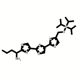 CCCC(N)c1nc(-c2nc(-c3nc(CO[Si](C(C)C)(C(C)C)C(C)C)co3)co2)co1